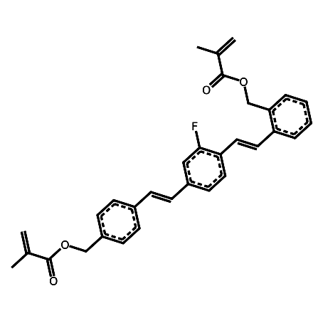 C=C(C)C(=O)OCc1ccc(/C=C/c2ccc(/C=C/c3ccccc3COC(=O)C(=C)C)c(F)c2)cc1